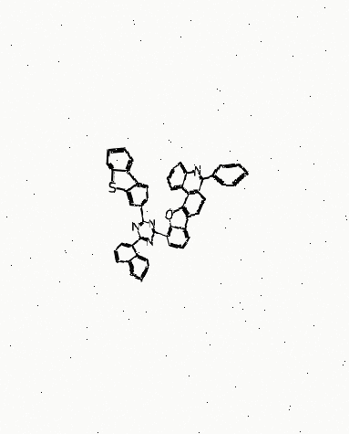 c1ccc(-c2nc3ccccc3c3c2ccc2c4cccc(-c5nc(-c6ccc7c(c6)sc6ccccc67)nc(-c6cccc7ccccc67)n5)c4oc23)cc1